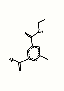 CCNC(=O)c1cc(C)cc(C(N)=O)c1